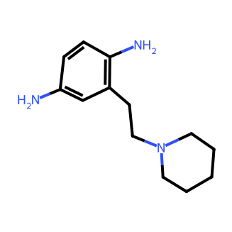 Nc1ccc(N)c(CCN2CCCCC2)c1